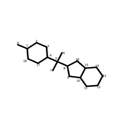 CC1CCC(C(C)(C)C2CC3CCCCC3C2)CC1